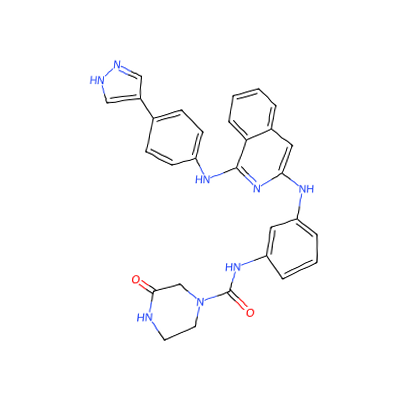 O=C1CN(C(=O)Nc2cccc(Nc3cc4ccccc4c(Nc4ccc(-c5cn[nH]c5)cc4)n3)c2)CCN1